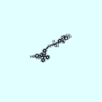 CN1C(=O)CCC(N2C(=O)c3ccc(NCC(=O)NCCCCC#Cc4cccc(Cn5c(-c6ccccc6)c(-c6ccccc6)c6c(=N)n(C7CCC(O)CC7)cnc65)c4)cc3C2=O)C1=O